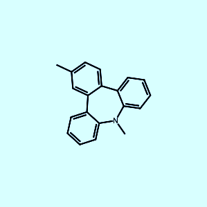 Cc1ccc2c(c1)-c1ccccc1N(C)c1ccccc1-2